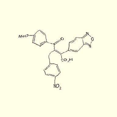 COc1ccc(C(=O)/C(Cc2ccc([N+](=O)[O-])cc2)=C(/C(=O)O)c2ccc3nonc3c2)cc1